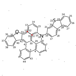 c1ccc(-c2cccc(N(c3ccccc3)c3ccc4c(c3)sc3ccccc34)c2-c2ccc3oc4ccccc4c3c2)cc1